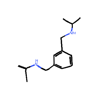 CC(C)NCc1cccc(CNC(C)C)c1